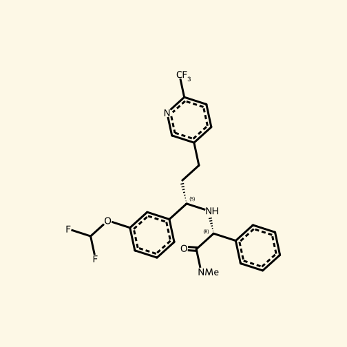 CNC(=O)[C@H](N[C@@H](CCc1ccc(C(F)(F)F)nc1)c1cccc(OC(F)F)c1)c1ccccc1